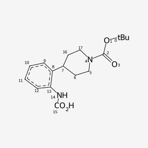 CC(C)(C)OC(=O)N1CCC(c2ccccc2NC(=O)O)CC1